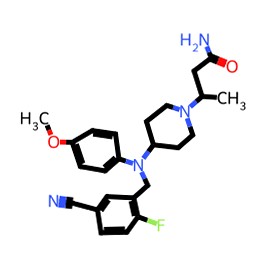 COc1ccc(N(Cc2cc(C#N)ccc2F)C2CCN(C(C)CC(N)=O)CC2)cc1